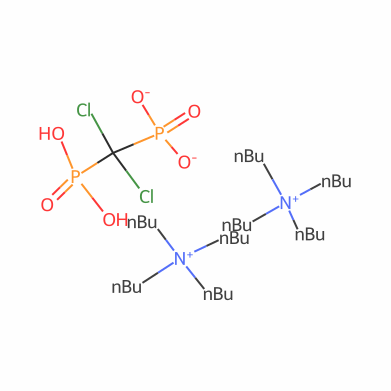 CCCC[N+](CCCC)(CCCC)CCCC.CCCC[N+](CCCC)(CCCC)CCCC.O=P([O-])([O-])C(Cl)(Cl)P(=O)(O)O